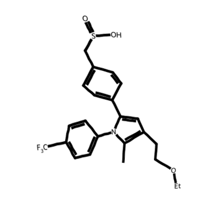 CCOCCc1cc(-c2ccc(CS(=O)O)cc2)n(-c2ccc(C(F)(F)F)cc2)c1C